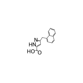 O=C(O)c1cc(Cc2cccc3ccccc23)n[nH]1